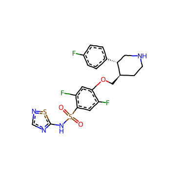 O=S(=O)(Nc1ncns1)c1cc(F)c(OC[C@@H]2CCNC[C@H]2c2ccc(F)cc2)cc1F